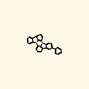 c1ccc(-c2ccc3c(c2)-c2cccc4c2B3c2cccc3c5ccccc5n-4c23)cc1